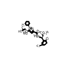 CC(C)(C)[C@@](C)(O)COc1cc(C(=O)N[C@@H](CC(=O)O)c2cc(Cl)ccc2Cl)nn1-c1ccccc1